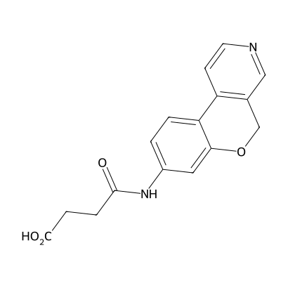 O=C(O)CCC(=O)Nc1ccc2c(c1)OCc1cnccc1-2